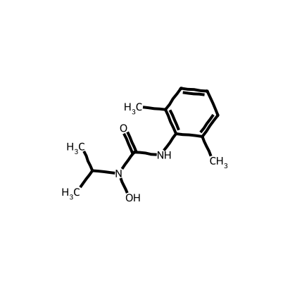 Cc1cccc(C)c1NC(=O)N(O)C(C)C